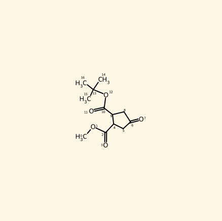 COC(=O)C1CC(=O)CC1C(=O)OC(C)(C)C